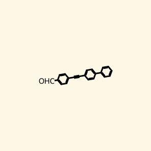 O=Cc1ccc(C#Cc2ccc(-c3ccccc3)cc2)cc1